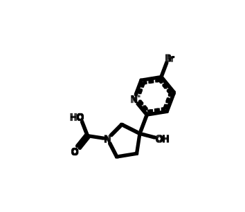 O=C(O)N1CCC(O)(c2ccc(Br)cn2)C1